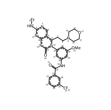 CCNc1ncc2c(CCN3CCOCC3)n(-c3cc(NC(=O)c4cccc(C(F)(F)F)c4)cc(OC)c3)c(=O)nc2n1